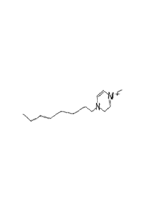 CCCCCCCCN1C=C[N+](C)=CC1